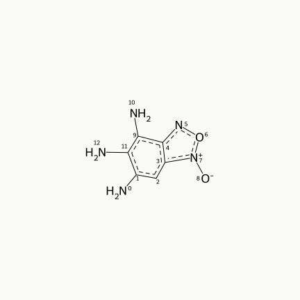 Nc1cc2c(no[n+]2[O-])c(N)c1N